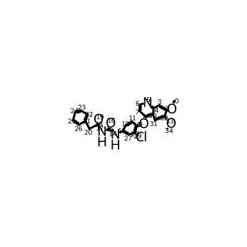 COc1cc2nccc(Oc3ccc(NC(=O)NC(=O)Cc4ccccc4)cc3Cl)c2cc1OC